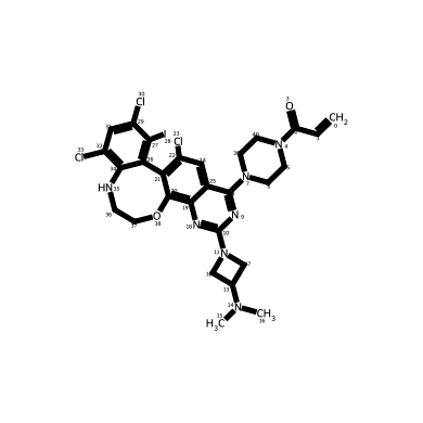 C=CC(=O)N1CCN(c2nc(N3CC(N(C)C)C3)nc3c4c(c(Cl)cc23)-c2c(I)c(Cl)cc(Cl)c2NCCO4)CC1